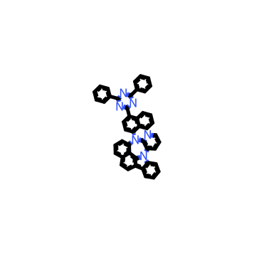 c1ccc(-c2nc(-c3ccccc3)nc(-c3ccc(-n4c5cccc6ccc7c8ccccc8n(c8cccnc84)c7c65)c4ccccc34)n2)cc1